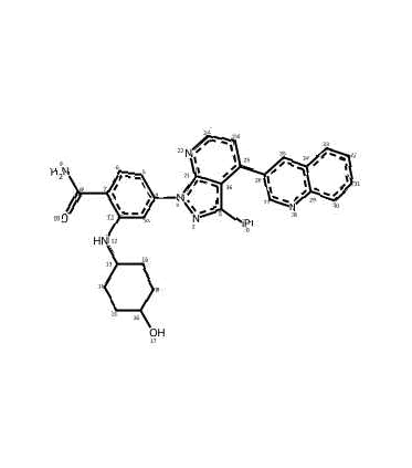 CC(C)c1nn(-c2ccc(C(N)=O)c(NC3CCC(O)CC3)c2)c2nccc(-c3cnc4ccccc4c3)c12